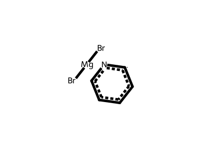 [Br][Mg][Br].[c]1ccccn1